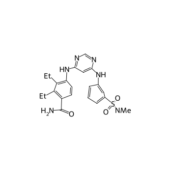 CCc1c(Nc2cc(Nc3cccc(S(=O)(=O)NC)c3)ncn2)ccc(C(N)=O)c1CC